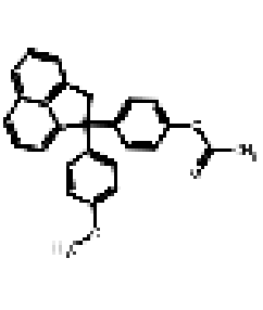 COc1ccc(C2(c3ccc(OC(C)=O)cc3)Cc3cccc4cccc2c34)cc1